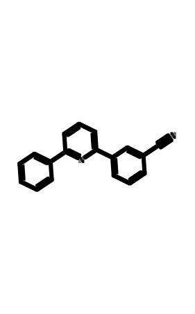 N#Cc1cccc(-c2cccc(-c3ccccc3)n2)c1